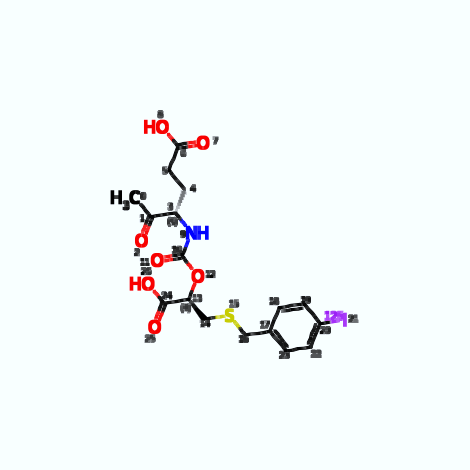 CC(=O)[C@H](CCC(=O)O)NC(=O)O[C@@H](CSCc1ccc([125I])cc1)C(=O)O